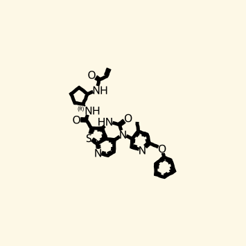 C=CC(=O)NC1CCC[C@H]1NC(=O)c1sc2nccc3c2c1NC(=O)N3c1cnc(Oc2ccccc2)cc1C